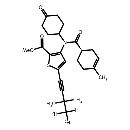 [2H]C([2H])([2H])C(C)(C)C#Cc1cc(N(C(=O)[C@H]2CC=C(C)CC2)C2CCC(=O)CC2)c(C(=O)OC)s1